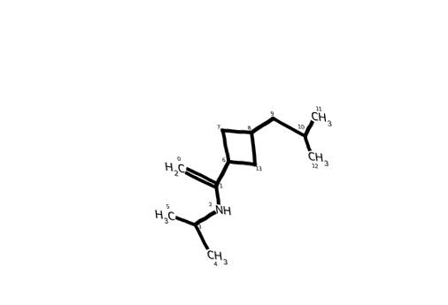 C=C(NC(C)C)C1CC(CC(C)C)C1